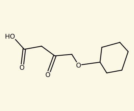 O=C(O)CC(=O)COC1CCCCC1